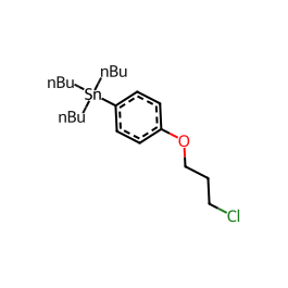 CCC[CH2][Sn]([CH2]CCC)([CH2]CCC)[c]1ccc(OCCCCl)cc1